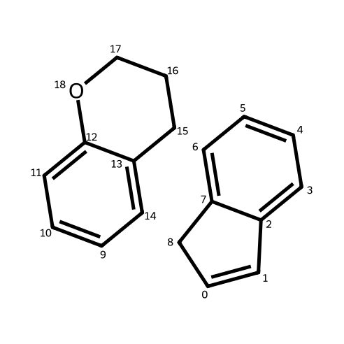 C1=Cc2ccccc2C1.c1ccc2c(c1)CCCO2